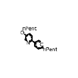 CCCCCOc1ccc(-c2ccc(CCCCC)cc2)nc1